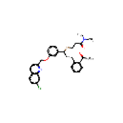 COC(=O)c1ccccc1CCC(SCCC(=O)N(C)C)c1cccc(OCc2ccc3ccc(Cl)cc3n2)c1